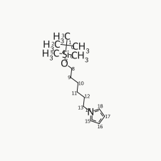 CC(C)(C)[Si](C)(C)OCCCCCCn1cccc1